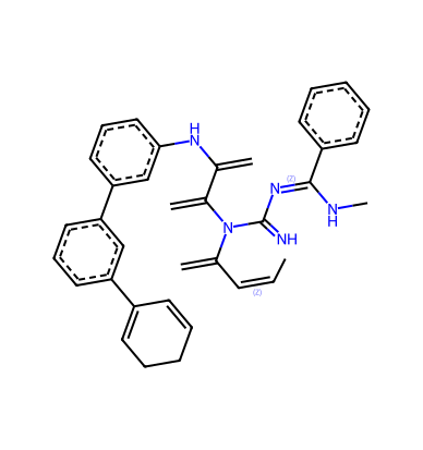 C=C(Nc1cccc(-c2cccc(C3=CCCC=C3)c2)c1)C(=C)N(C(=C)/C=C\C)C(=N)/N=C(\NC)c1ccccc1